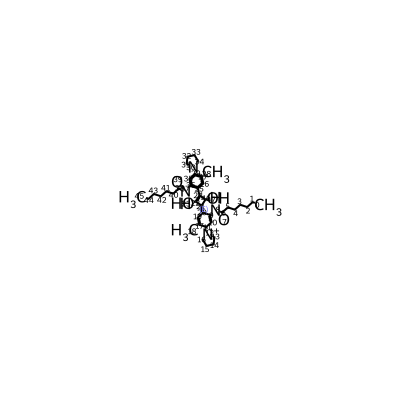 CCCCCCC(=O)NC1=CC(=[N+]2CCCC2)C(C)=C/C1=C1\C(O)=C(c2cc(C)c(N3CCCC3)cc2NC(=O)CCCCCC)C1O